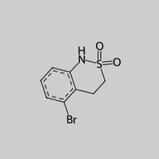 O=S1(=O)CCc2c(Br)cccc2N1